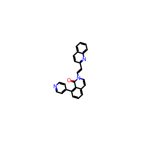 O=c1c2c(-c3ccncc3)cccc2ccn1C=Cc1ccc2ccccc2n1